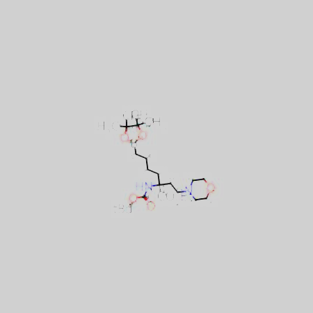 CCOC(=O)[C@@](CCCCB1OC(C)(C)C(C)(C)O1)(CCN1CCOCC1)NC(=O)OC(C)(C)C